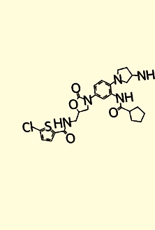 NC1CCN(c2ccc(N3CC(CNC(=O)c4ccc(Cl)s4)OC3=O)cc2NC(=O)C2CCCC2)C1